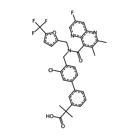 Cc1nc2cc(F)cnc2c(C(=O)N(Cc2ccc(C(F)(F)F)o2)Cc2ccc(-c3cccc(C(C)(C)C(=O)O)c3)cc2Cl)c1C